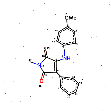 COc1ccc(NC2=C(c3ccccc3)C(=O)N(C)C2=S)cc1